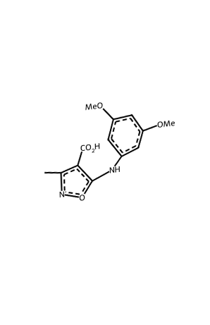 COc1cc(Nc2onc(C)c2C(=O)O)cc(OC)c1